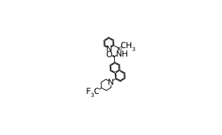 C[C@H](NC(=O)c1ccc2c(N3CCC(C(F)(F)F)CC3)cccc2c1)c1ccccn1